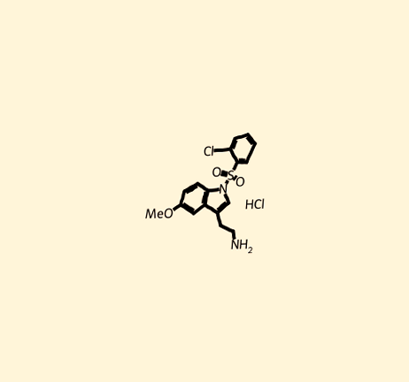 COc1ccc2c(c1)c(CCN)cn2S(=O)(=O)c1ccccc1Cl.Cl